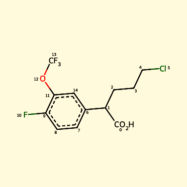 O=C(O)C(CCCCl)c1ccc(F)c(OC(F)(F)F)c1